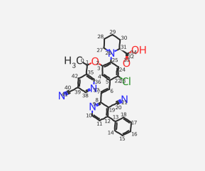 CC(Oc1cc(/C=C/c2nccc(-c3ccccc3)c2C#N)c(Cl)cc1N1CCCC[C@H]1C(=O)O)c1cncc(C#N)c1